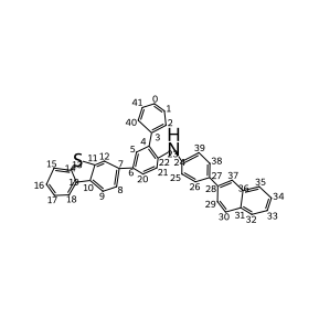 c1ccc(-c2cc(-c3ccc4c(c3)sc3ccccc34)ccc2Nc2ccc(-c3ccc4ccccc4c3)cc2)cc1